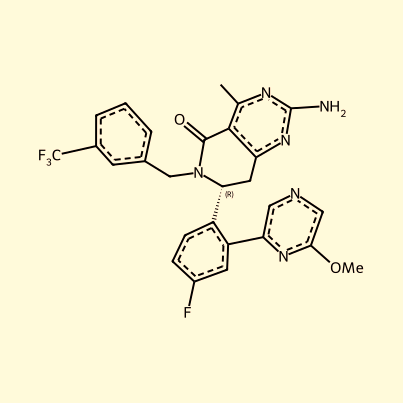 COc1cncc(-c2cc(F)ccc2[C@H]2Cc3nc(N)nc(C)c3C(=O)N2Cc2cccc(C(F)(F)F)c2)n1